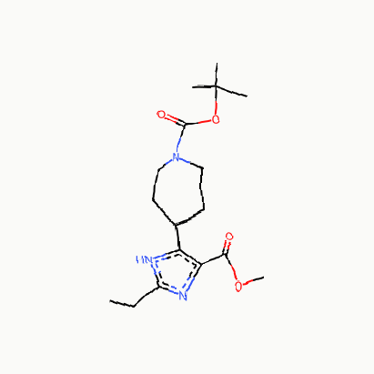 CCc1nc(C(=O)OC)c(C2CCN(C(=O)OC(C)(C)C)CC2)[nH]1